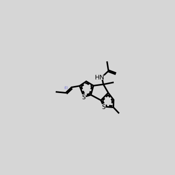 C=C(C)NC1(C)c2cc(C)sc2-c2sc(/C=C/C)cc21